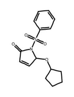 O=C1C=CC(OC2CCCC2)N1S(=O)(=O)c1ccccc1